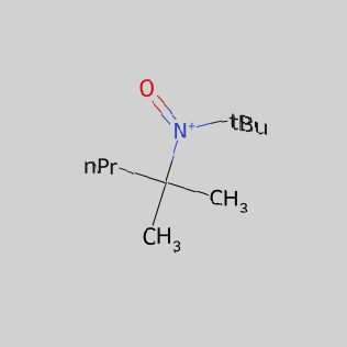 CCCC(C)(C)[N+](=O)C(C)(C)C